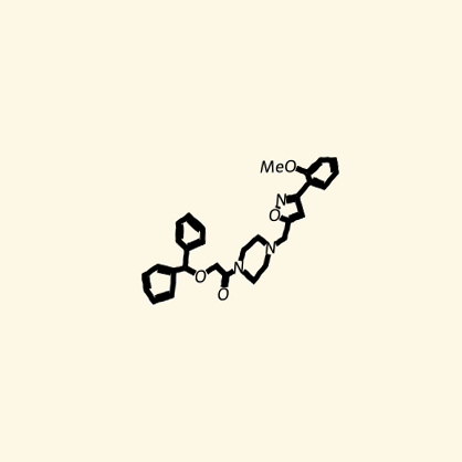 COc1ccccc1-c1cc(CN2CCN(C(=O)COC(c3ccccc3)c3ccccc3)CC2)on1